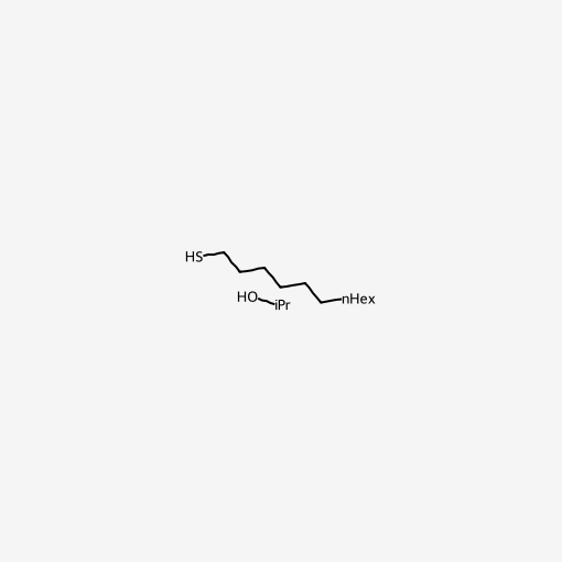 CC(C)O.CCCCCCCCCCCCS